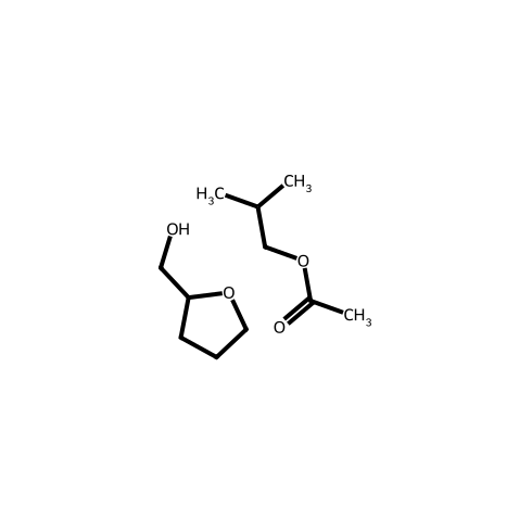 CC(=O)OCC(C)C.OCC1CCCO1